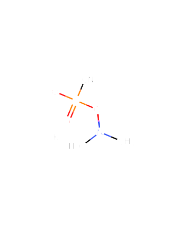 CN(C)OP(=O)([O-])C#N.[K+]